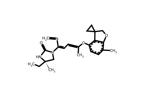 C=N/C(=C\C=C(/C)Oc1ccc(C)c2c1C1(CC1)CO2)N1C[C@@](C)(CC)NC1=O